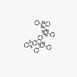 c1ccc(-c2cc(-c3ccccc3)nc(-c3cc(-c4nc(-c5ccccc5)nc(-c5nc(-c6ccccc6)nc6ccccc56)n4)ccc3-c3ccc4c(c3)Sc3ccccc3S4)n2)cc1